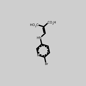 O=C(O)C(=CNc1ccc(Br)nc1)C(=O)O